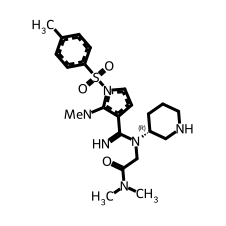 CNc1c(C(=N)N(CC(=O)N(C)C)[C@@H]2CCCNC2)ccn1S(=O)(=O)c1ccc(C)cc1